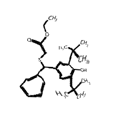 CCOC(=O)CSC(c1ccccc1)c1cc(C(C)(C)C)c(O)c(C(C)(C)C)c1